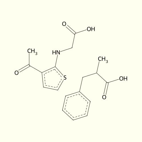 CC(=O)c1ccsc1NCC(=O)O.CC(Cc1ccccc1)C(=O)O